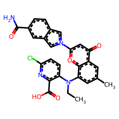 CCN(c1ccc(Cl)nc1C(=O)O)c1cc(C)cc2c(=O)cc(-n3cc4ccc(C(N)=O)cc4c3)oc12